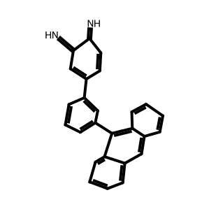 N=C1C=CC(c2cccc(-c3c4ccccc4cc4ccccc34)c2)=CC1=N